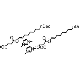 CCCCCCCCCCCCCCCCC=COC(=O)CCC(=O)[O-].CCCCCCCCCCCCCCCCC=COC(=O)CCC(=O)[O-].Cn1cc[n+](C)c1.Cn1cc[n+](C)c1